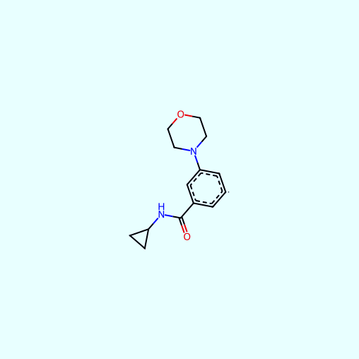 O=C(NC1CC1)c1c[c]cc(N2CCOCC2)c1